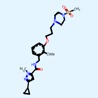 COc1c(CNC(=O)c2cc(C3CC3)nn2C)cccc1OCCCN1CCN(S(C)(=O)=O)CC1